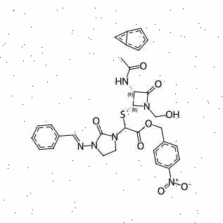 CC(=O)N[C@@H]1C(=O)N(CO)[C@@H]1SC(C(=O)OCc1ccc([N+](=O)[O-])cc1)N1CCN(N=Cc2ccccc2)C1=O.c1cc2cc-2c1